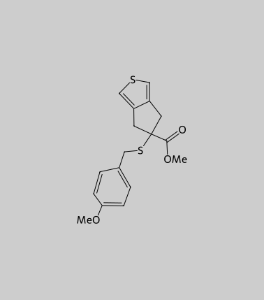 COC(=O)C1(SCc2ccc(OC)cc2)Cc2cscc2C1